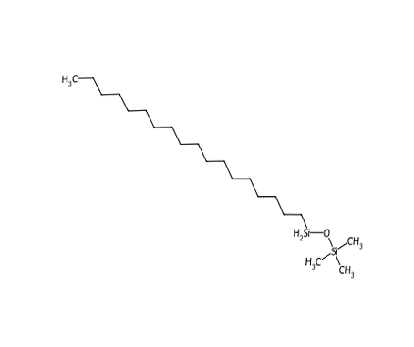 CCCCCCCCCCCCCCCCCC[SiH2]O[Si](C)(C)C